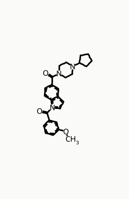 COc1cccc(C(=O)n2ccc3cc(C(=O)N4CCN(C5CCCC5)CC4)ccc32)c1